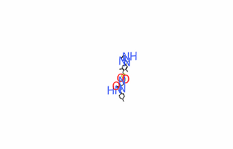 Cc1cc(N(C)c2ncc[nH]2)cc(C)c1CCS(=O)(=O)N1CCC2(CC1)N=C(C1CCC(C)CC1)NC2=O